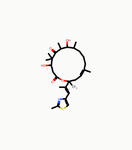 C/C1=C/CC(/C(C)=C/c2csc(C)n2)(C(F)(F)F)OC(=O)CC(O)C(C)(C)C(=O)C(C)C(O)C(C)CCC1